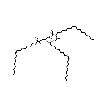 CCCCCCCC/C=C\CCCCCCCC(=O)OCC(COC(=O)C(CCCCCC/C=C\CCCCCCCC)C(C)C)OC(=O)CCCCCCC/C=C\CCCCCCCC